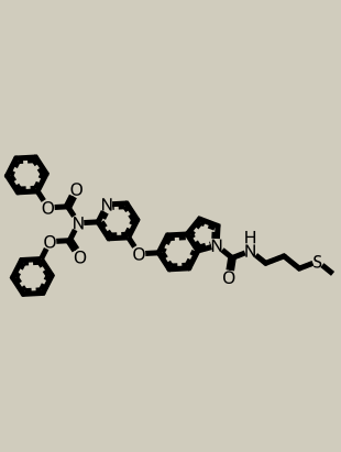 CSCCCNC(=O)n1ccc2cc(Oc3ccnc(N(C(=O)Oc4ccccc4)C(=O)Oc4ccccc4)c3)ccc21